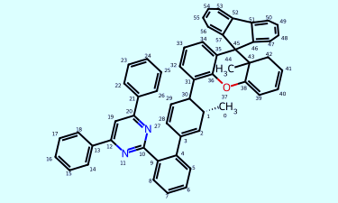 C[C@@H]1C=C(c2ccccc2-c2nc(-c3ccccc3)cc(-c3ccccc3)n2)C=CC1c1cccc2c1OC1=CC=CCC1(C)C21c2ccccc2-c2ccccc21